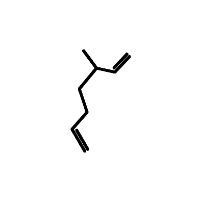 C=CCCC(C)C=C